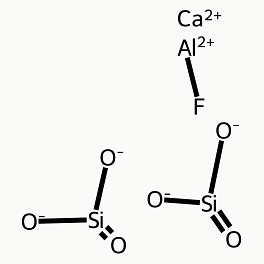 O=[Si]([O-])[O-].O=[Si]([O-])[O-].[Ca+2].[F][Al+2]